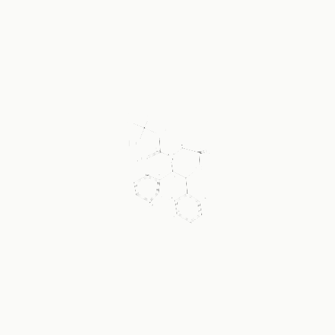 CC(C)(C)OC(=O)N1CC(=O)OC(c2ccccc2)C1c1ccccc1